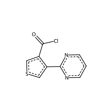 O=C(Cl)c1cscc1-c1ncccn1